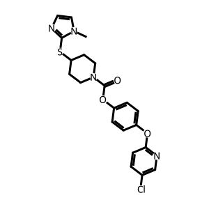 Cn1ccnc1SC1CCN(C(=O)Oc2ccc(Oc3ccc(Cl)cn3)cc2)CC1